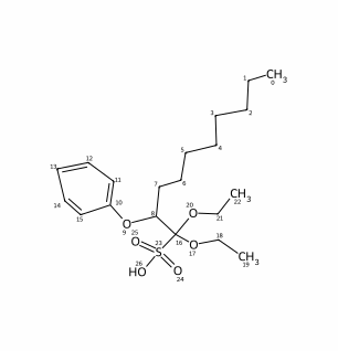 CCCCCCCCC(Oc1ccccc1)C(OCC)(OCC)S(=O)(=O)O